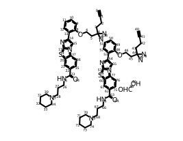 C#CCCC1(CCOc2ccccc2-c2cn3c(n2)sc2cc(C(=O)NCCCN4CCCCC4)ccc23)N=N1.C#CCCC1(CCOc2ccccc2-c2cn3c(n2)sc2cc(C(=O)NCCCN4CCCCC4)ccc23)N=N1.O=CO